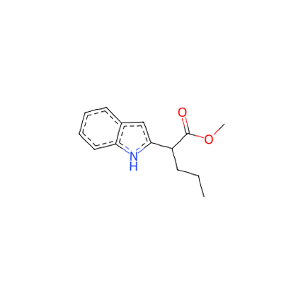 CCCC(C(=O)OC)c1cc2ccccc2[nH]1